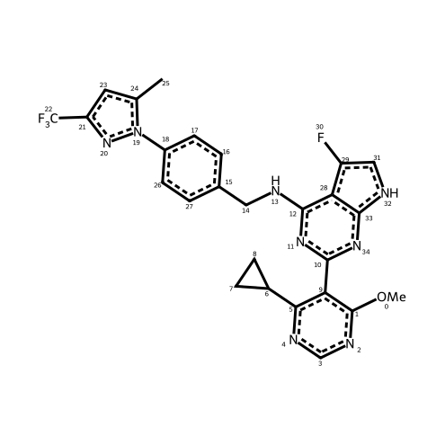 COc1ncnc(C2CC2)c1-c1nc(NCc2ccc(-n3nc(C(F)(F)F)cc3C)cc2)c2c(F)c[nH]c2n1